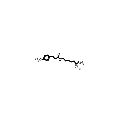 Cc1ccc(CCC(=O)OCCCCCC(C)C)cc1